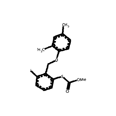 COC(=O)Sc1cccc(I)c1COc1ccc(C)cc1C